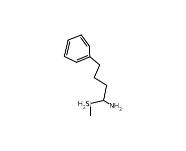 C[SiH2]C(N)CCCc1ccccc1